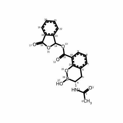 CC(=O)N[C@H]1Cc2cccc(C(=O)OC3OC(=O)c4ccccc43)c2OB1O